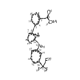 O=C(O)c1cc(-c2ccnc(Nc3cccc(C(F)(F)F)c3)n2)ccn1